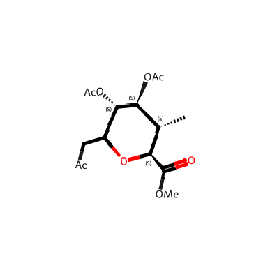 COC(=O)[C@H]1OC(CC(C)=O)[C@H](OC(C)=O)[C@@H](OC(C)=O)[C@@H]1C